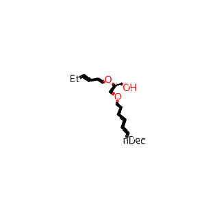 CCC=CCCO[C@@H](CO)COCCCCCCCCCCCCCCCC